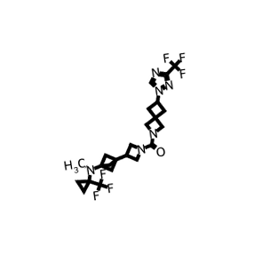 CN(C12CC(C3CN(C(=O)N4CC5(CC(n6cnc(C(F)(F)F)n6)C5)C4)C3)(C1)C2)C1(C(F)(F)F)CC1